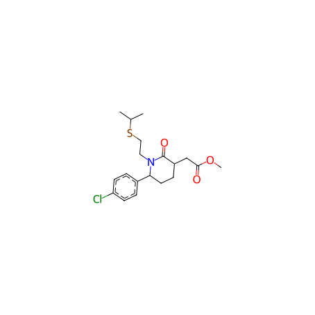 COC(=O)CC1CCC(c2ccc(Cl)cc2)N(CCSC(C)C)C1=O